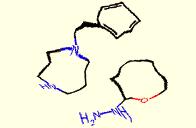 NNC1CCCCO1.c1ccc(CN2CCCNCC2)cc1